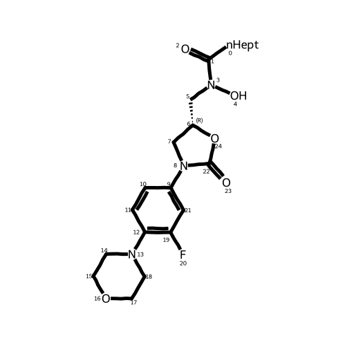 CCCCCCCC(=O)N(O)C[C@H]1CN(c2ccc(N3CCOCC3)c(F)c2)C(=O)O1